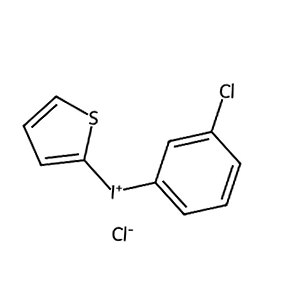 Clc1cccc([I+]c2cccs2)c1.[Cl-]